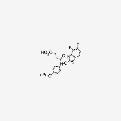 CCCOc1ccc(N(Cc2nc3c(F)c(F)ccc3s2)C(=O)CCC(=O)O)cc1